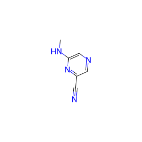 CNc1cncc(C#N)n1